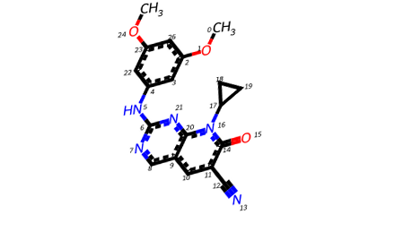 COc1cc(Nc2ncc3cc(C#N)c(=O)n(C4CC4)c3n2)cc(OC)c1